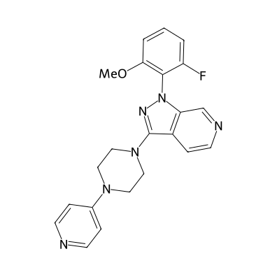 COc1cccc(F)c1-n1nc(N2CCN(c3ccncc3)CC2)c2ccncc21